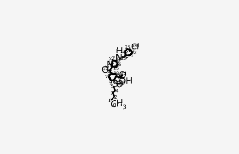 CCCCCC[S+]([O-])c1ccc(C(=O)c2ccc(NCc3ccc(Cl)cc3)cn2)cc1C(=O)O